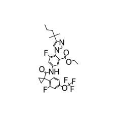 CCCC(C)(C)c1cn(-c2c(F)cc(NC(=O)C3(c4ccc(OC(F)(F)F)cc4F)CC3)cc2C(=O)OCC)cn1